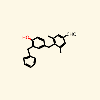 Cc1cc([C]=O)cc(C)c1Cc1ccc(O)c(Cc2ccccc2)c1